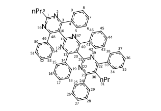 CCCc1nc(-c2ccccc2)c(-c2nc(-c3ccccc3)c(-c3nc(-c4ccccc4)c(CCC)c(-c4ccccc4)n3)c(-c3ccccc3)n2)c(-c2ccccc2)n1